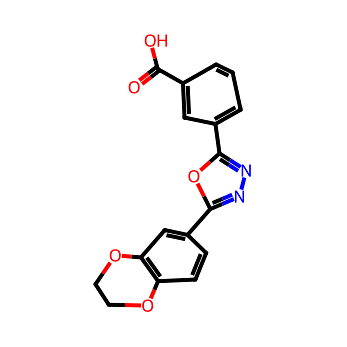 O=C(O)c1cccc(-c2nnc(-c3ccc4c(c3)OCCO4)o2)c1